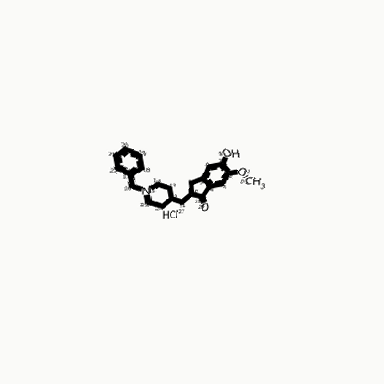 COc1cc2c(cc1O)CC(CC1CCN(Cc3ccccc3)CC1)C2=O.Cl